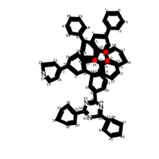 c1ccc(-c2ccc3c(c2)c2ccccc2n3-c2ccc(-c3ccncc3)cc2-c2cc(-c3nc(-c4ccccc4)nc(-c4ccccc4)n3)ccc2-n2c3ccccc3c3cc(-c4ccccc4)ccc32)cc1